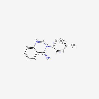 C=C(C)/C=C\C(=C/C)n1cnc2ccccc2c1=N